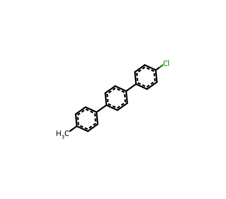 Cc1ccc(-c2ccc(-c3ccc(Cl)cc3)cc2)cc1